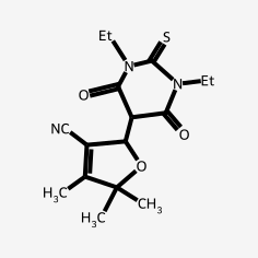 CCN1C(=O)C(C2OC(C)(C)C(C)=C2C#N)C(=O)N(CC)C1=S